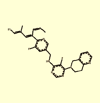 C\C=C/C(=C\C(C)=C\CC)c1ncc(CNc2ncnc(N3CCc4ncccc4C3)c2F)cc1F